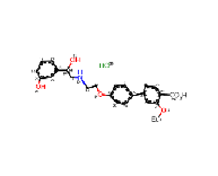 CCOc1cc(-c2ccc(OCCNC[C@H](O)c3cccc(O)c3)cc2)ccc1C(=O)O.Cl